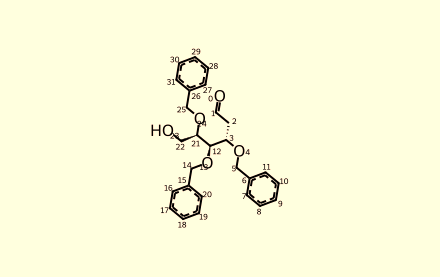 O=CC[C@H](OCc1ccccc1)[C@@H](OCc1ccccc1)[C@@H](CO)OCc1ccccc1